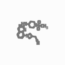 CS(=O)(=O)N1CCC(Nc2ncc3cccc(N4CC(CC#N)C4)c3n2)CC1